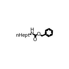 CCC[CH]CCCNC(=O)OCc1ccccc1